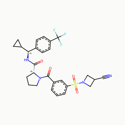 N#CC1CN(S(=O)(=O)c2cccc(C(=O)N3CCC[C@@H]3C(=O)N[C@H](c3ccc(C(F)(F)F)cc3)C3CC3)c2)C1